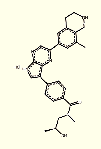 Cc1cc(-c2cnc3[nH]cc(-c4ccc(C(=O)N(C)C[C@H](C)O)cc4)c3n2)cc2c1CNCC2.Cl